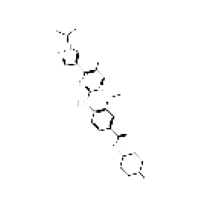 COc1cc(C(=O)NC2CCC(O)CC2)ccc1Nc1ncc(Cl)c(-c2cnn(C(C)C)c2)n1